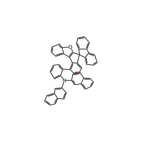 c1ccc(N(c2ccc3ccccc3c2)c2ccc3ccccc3c2)c(-c2cccc3c2-c2c(oc4ccccc24)C32c3ccccc3-c3ccccc32)c1